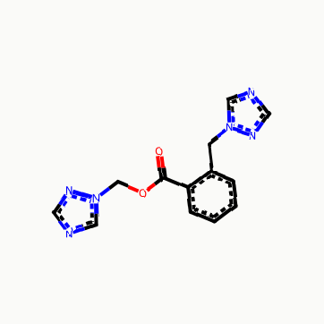 O=C(OCn1cncn1)c1ccccc1Cn1cncn1